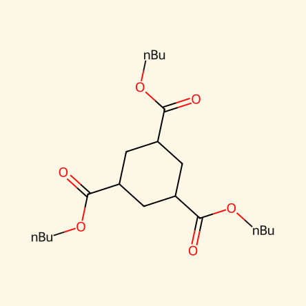 CCCCOC(=O)C1CC(C(=O)OCCCC)CC(C(=O)OCCCC)C1